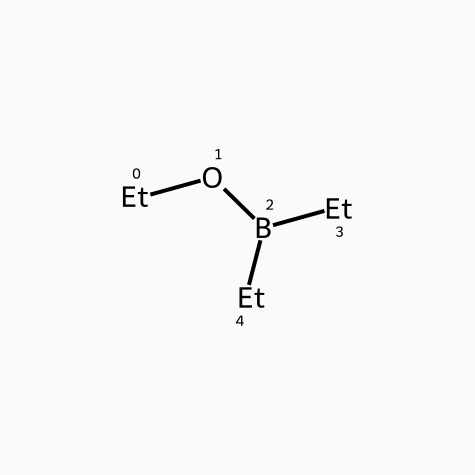 CCOB(CC)CC